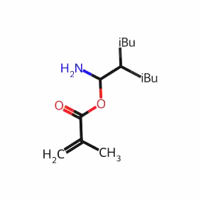 C=C(C)C(=O)OC(N)C(C(C)CC)C(C)CC